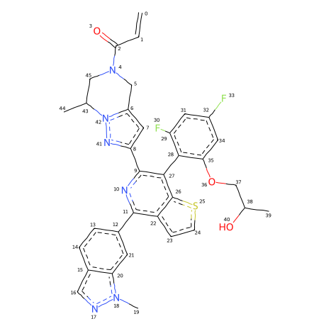 C=CC(=O)N1Cc2cc(-c3nc(-c4ccc5cnn(C)c5c4)c4ccsc4c3-c3c(F)cc(F)cc3OCC(C)O)nn2C(C)C1